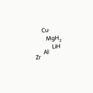 [Al].[Cu].[LiH].[MgH2].[Zr]